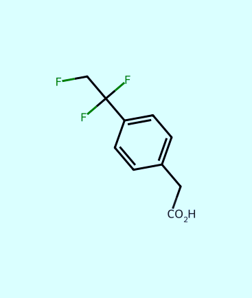 O=C(O)Cc1ccc(C(F)(F)CF)cc1